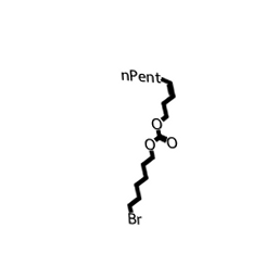 CCCCC/C=C\CCOC(=O)OCCCCCCBr